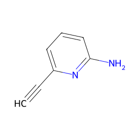 C#Cc1cccc(N)n1